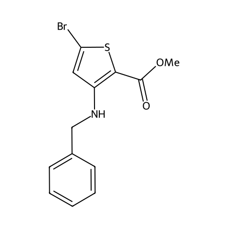 COC(=O)c1sc(Br)cc1NCc1ccccc1